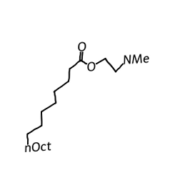 CCCCCCCCCCCCCCCC(=O)OCCNC